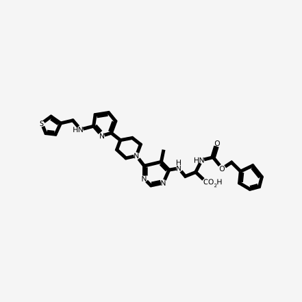 Cc1c(NCC(NC(=O)OCc2ccccc2)C(=O)O)ncnc1N1CCC(c2cccc(NCc3ccsc3)n2)CC1